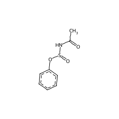 CC(=O)NS(=O)Oc1ccccc1